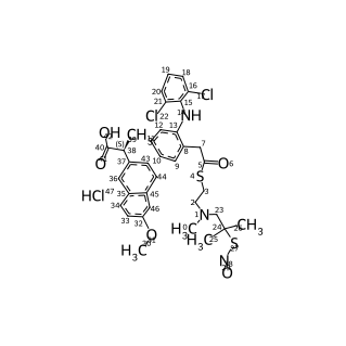 CN(CCSC(=O)Cc1ccccc1Nc1c(Cl)cccc1Cl)CC(C)(C)SN=O.COc1ccc2cc([C@H](C)C(=O)O)ccc2c1.Cl